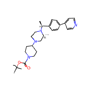 C[C@@H]1CN(C2CCN(C(=O)OC(C)(C)C)CC2)CCN1[C@@H](C)c1ccc(-c2ccncc2)cc1